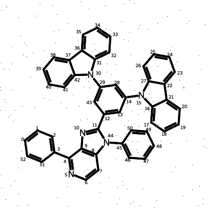 c1ccc(-c2nccc3c2nc(-c2cc(-n4c5ccccc5c5ccccc54)cc(-n4c5ccccc5c5ccccc54)c2)n3-c2ccccc2)cc1